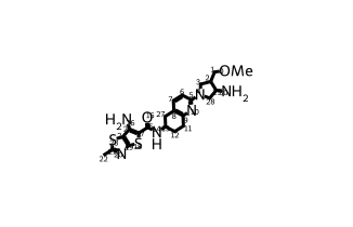 COCC1CN(c2ccc3c(n2)CCC(NC(=O)c2sc4nc(C)sc4c2N)C3)CC1N